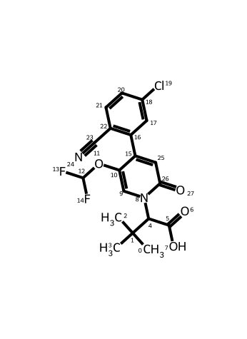 CC(C)(C)C(C(=O)O)n1cc(OC(F)F)c(-c2cc(Cl)ccc2C#N)cc1=O